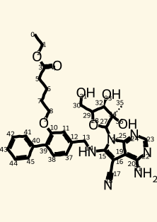 CCOC(=O)CCCCOc1cc(CNc2c(C#N)c3c(N)ncnc3n2C2OC(CO)[C@@H](O)[C@@]2(C)O)ccc1-c1ccccc1